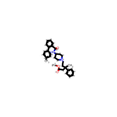 CC(C)OC(=O)CC(C)(CCN1CCC(NC(=O)c2ccccc2-c2ccc(C(F)(F)F)cc2)CC1)c1ccccc1